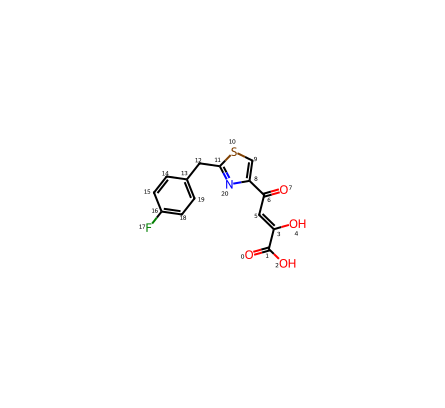 O=C(O)/C(O)=C/C(=O)c1csc(Cc2ccc(F)cc2)n1